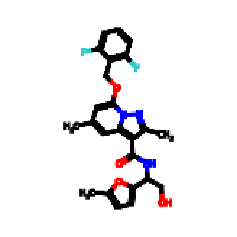 Cc1cc(OCc2c(F)cccc2F)n2nc(C)c(C(=O)NC(CO)c3ccc(C)o3)c2c1